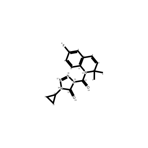 CC1(C)C=Cc2cc(F)ccc2N1C(=O)n1nnn(C2CC2)c1=O